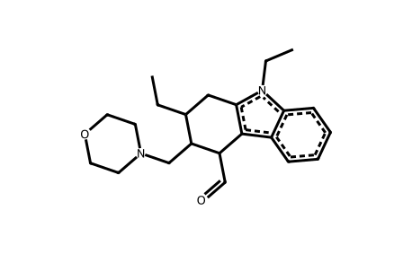 CCC1Cc2c(c3ccccc3n2CC)C(C=O)C1CN1CCOCC1